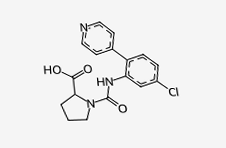 O=C(O)C1CCCN1C(=O)Nc1cc(Cl)ccc1-c1ccncc1